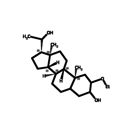 CCOC1C[C@@]2(C)C(CC[C@H]3[C@@H]4CC[C@H](C(C)O)[C@@]4(C)CC[C@@H]32)CC1O